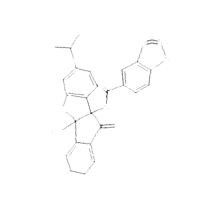 CC(C)c1ccc2c(c1)OC1(O)C3=CCCC=C3C(=O)C21NC(=O)c1ccc2[nH]nnc2c1